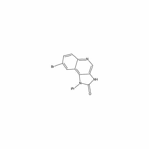 CC(C)n1c(=O)[nH]c2cnc3ccc(Br)cc3c21